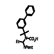 CCCCCC(CC)N(C(=O)O)C(C)(C)c1cccc(-c2ccccc2)c1